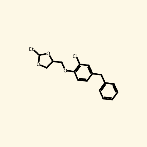 CCC1OCC(COc2ccc(Cc3ccccc3)cc2Cl)O1